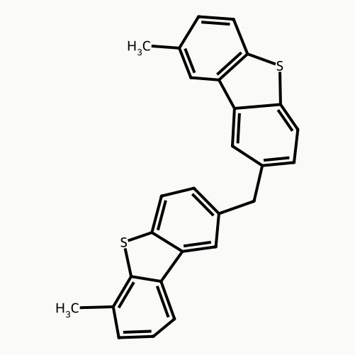 Cc1ccc2sc3ccc(Cc4ccc5sc6c(C)cccc6c5c4)cc3c2c1